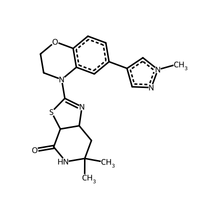 Cn1cc(-c2ccc3c(c2)N(C2=NC4CC(C)(C)NC(=O)C4S2)CCO3)cn1